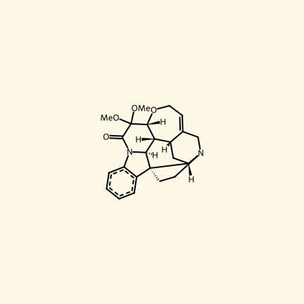 COC1(OC)C(=O)N2c3ccccc3[C@@]34CCN5CC6=CCO[C@@H]1[C@@H]([C@H]23)[C@H]6C[C@H]54